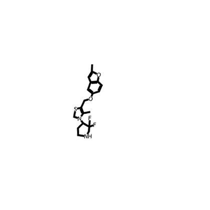 CC1=C(COc2ccc3oc(C)cc3c2)SCN1C1CCNCC1(F)F